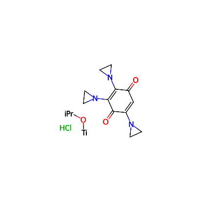 CC(C)[O][Ti].Cl.O=C1C=C(N2CC2)C(=O)C(N2CC2)=C1N1CC1